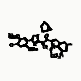 C1CC2CC2C1.CCN(C(=O)c1cc2cc(C)cc(C)c2n1CC(=O)O)c1nc(-c2cc(OC)c(Cl)cc2OC)cs1